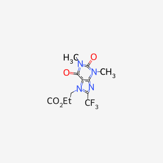 CCOC(=O)Cn1c(C(F)(F)F)nc2c1c(=O)n(C)c(=O)n2C